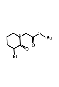 CCC1CCC[C@@H](CC(=O)OC(C)(C)C)C1=O